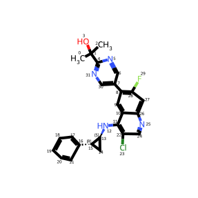 CC(C)(O)c1ncc(-c2cc3c(N[C@H]4C[C@@H]4c4ccccc4)c(Cl)cnc3cc2F)cn1